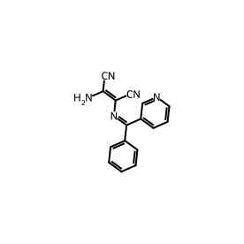 N#CC(N)=C(C#N)N=C(c1ccccc1)c1cccnc1